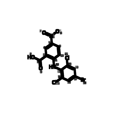 O=C(O)c1cc([N+](=O)[O-])ccc1Nc1c(Cl)cc(Br)cc1Cl